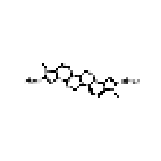 CCCCCCc1cc2c3ccc4c(ccc5c4ccc4c5cc(CCCCCC)n4C)c3ccc2n1C